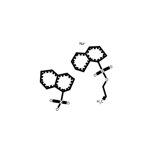 C=CCOS(=O)(=O)c1cccc2ccccc12.O=S(=O)([O-])c1cccc2ccccc12.[Na+]